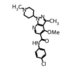 COc1c(C(=O)Nc2ccc(Cl)cc2)cnc2c1c(C)nn2C1CCN(C)CC1